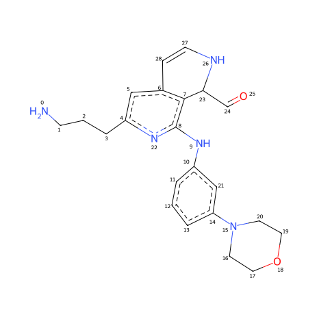 NCCCc1cc2c(c(Nc3cccc(N4CCOCC4)c3)n1)C(C=O)NC=C2